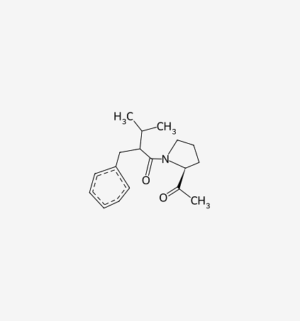 CC(=O)[C@@H]1CCCN1C(=O)C(Cc1ccccc1)C(C)C